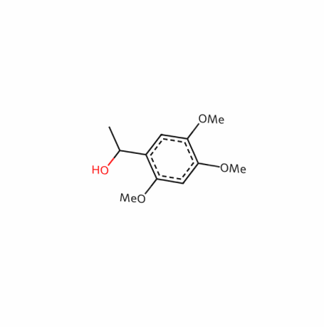 COc1cc(OC)c(C(C)O)cc1OC